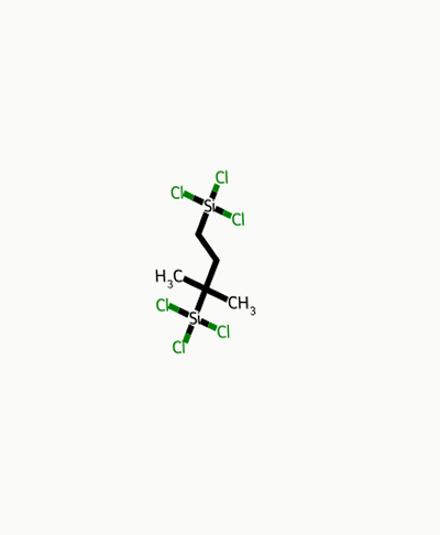 CC(C)(CC[Si](Cl)(Cl)Cl)[Si](Cl)(Cl)Cl